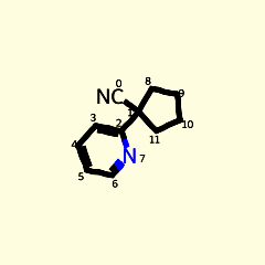 N#CC1(c2ccccn2)CCCC1